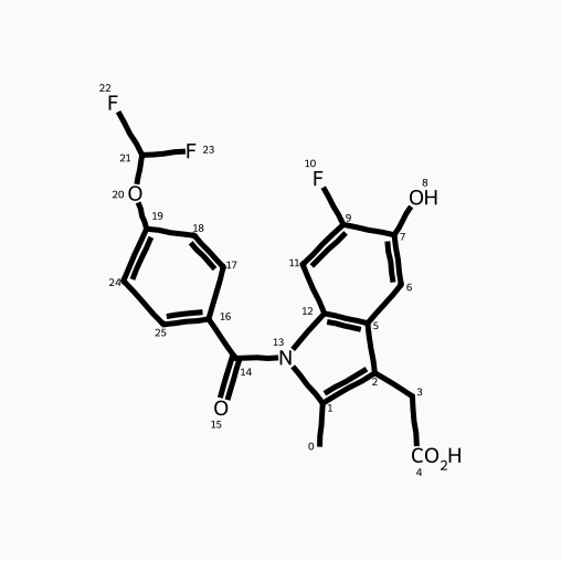 Cc1c(CC(=O)O)c2cc(O)c(F)cc2n1C(=O)c1ccc(OC(F)F)cc1